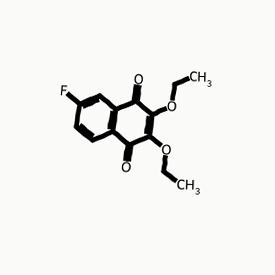 CCOC1=C(OCC)C(=O)c2cc(F)ccc2C1=O